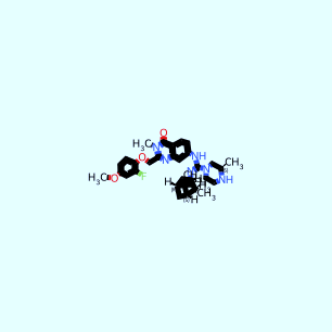 COc1ccc(OCc2nc3cc(NC(=N[C@H]4C[C@H]5C[C@@H]([C@@H]4C)C5(C)C)N4CCN[C@@H](C)C4)ccc3c(=O)n2C)c(F)c1